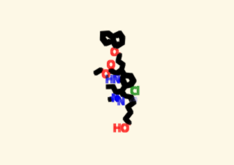 CCOC(=O)c1[nH]c2c(-c3c(/C=C\CCCCO)nn(C)c3CC)c(Cl)ccc2c1CCCOc1cccc2ccccc12